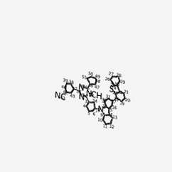 CN1C(c2cccc(-n3c4ccccc4c4cc(-c5cccc6c5sc5ccccc56)ccc43)c2)=NC(c2cccc(C#N)c2)=NC1c1ccccc1